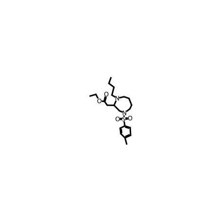 CCCCN1CCCCN(S(=O)(=O)c2ccc(C)cc2)CC1CC(=O)OCC